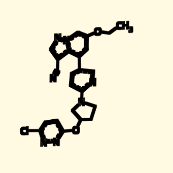 CCOc1cc(-c2ccc(N3CCC(Oc4ccc(Cl)nn4)C3)nc2)c2c(C#N)cnn2c1